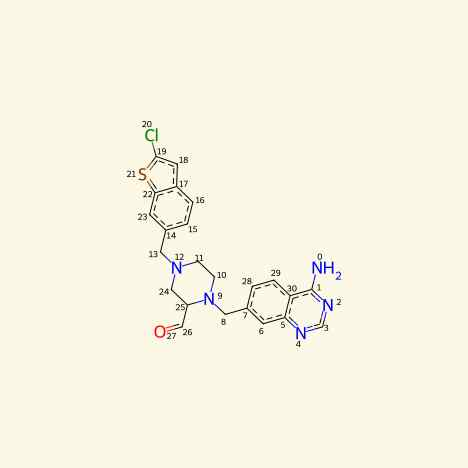 Nc1ncnc2cc(CN3CCN(Cc4ccc5cc(Cl)sc5c4)CC3C=O)ccc12